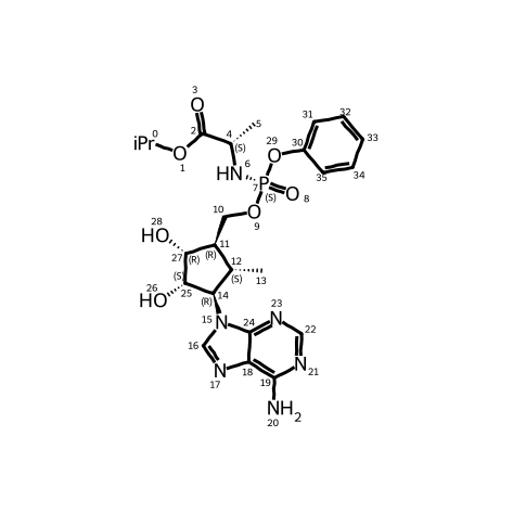 CC(C)OC(=O)[C@H](C)N[P@](=O)(OC[C@H]1[C@H](C)[C@@H](n2cnc3c(N)ncnc32)[C@H](O)[C@@H]1O)Oc1ccccc1